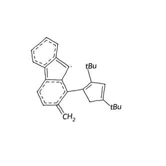 C=c1ccc2c(c1C1=C(C(C)(C)C)C=C(C(C)(C)C)C1)[C]=c1ccccc1=2